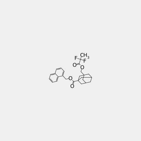 CC(F)(F)C(=O)OCC12CC3CC(C1)CC(C(=O)OCc1cccc4ccccc14)(C3)C2